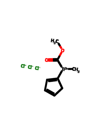 CO[C](=O)[Ti+3]([CH3])[C]1=CC=CC1.[Cl-].[Cl-].[Cl-]